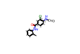 Cc1ccccc1NC(=O)c1ccc(NC=O)c(Cl)c1